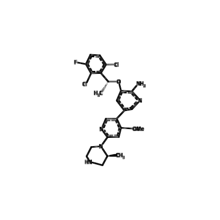 COc1cc(N2CCNC[C@@H]2C)ncc1-c1cnc(N)c(O[C@H](C)c2c(Cl)ccc(F)c2Cl)c1